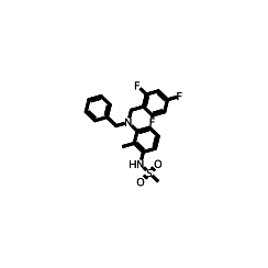 Cc1c(NS(C)(=O)=O)cccc1N(Cc1ccccc1)Cc1c(F)cc(F)cc1F